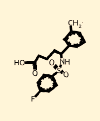 [CH2]c1cccc(C(CCCC(=O)O)NS(=O)(=O)c2ccc(F)cc2)c1